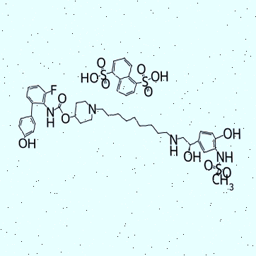 CS(=O)(=O)Nc1cc([C@@H](O)CNCCCCCCCCCN2CCC(OC(=O)Nc3c(F)cccc3-c3ccc(O)cc3)CC2)ccc1O.O=S(=O)(O)c1cccc2c(S(=O)(=O)O)cccc12